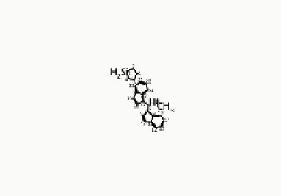 C1CC[SiH2]C1.[CH3][Hf][CH](C1C=Cc2ccccc21)C1C=Cc2ccccc21